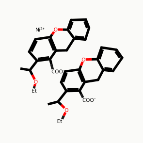 CCOC(C)c1ccc2c(c1C(=O)[O-])Cc1ccccc1O2.CCOC(C)c1ccc2c(c1C(=O)[O-])Cc1ccccc1O2.[Ni+2]